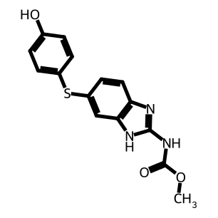 COC(=O)Nc1nc2ccc(Sc3ccc(O)cc3)cc2[nH]1